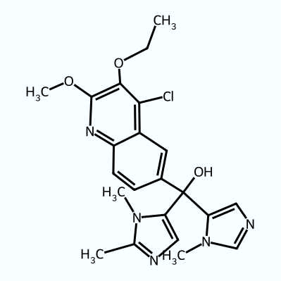 CCOc1c(OC)nc2ccc(C(O)(c3cncn3C)c3cnc(C)n3C)cc2c1Cl